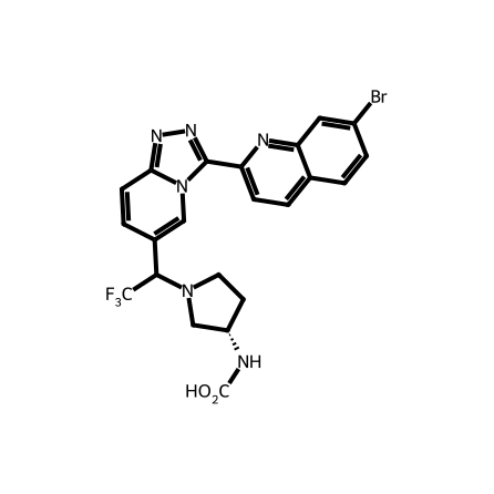 O=C(O)N[C@H]1CCN(C(c2ccc3nnc(-c4ccc5ccc(Br)cc5n4)n3c2)C(F)(F)F)C1